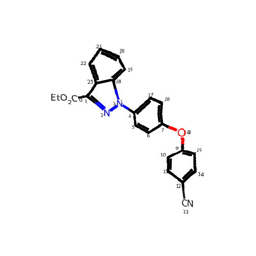 CCOC(=O)c1nn(-c2ccc(Oc3ccc(C#N)cc3)cc2)c2ccccc12